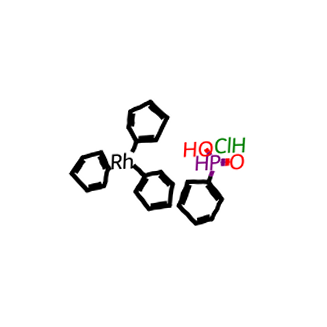 Cl.O=[PH](O)c1ccccc1.c1cc[c]([Rh]([c]2ccccc2)[c]2ccccc2)cc1